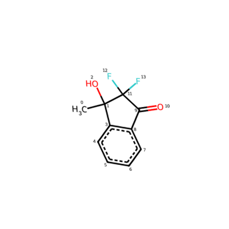 CC1(O)c2ccccc2C(=O)C1(F)F